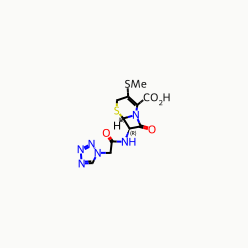 CSC1=C(C(=O)O)N2C(=O)[C@@H](NC(=O)Cn3cnnn3)[C@H]2SC1